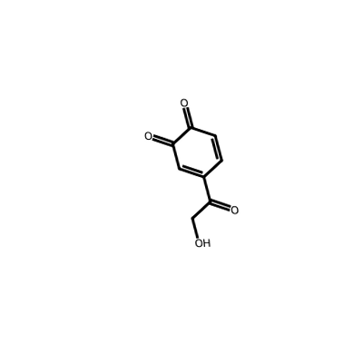 O=C1C=CC(C(=O)CO)=CC1=O